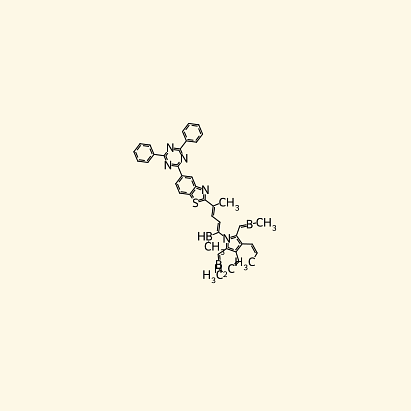 C=Cc1c(/C=C\C)c(/C=B\C)n(/C(BC)=C/C=C(\C)c2nc3cc(-c4nc(-c5ccccc5)nc(-c5ccccc5)n4)ccc3s2)c1/C=B\C